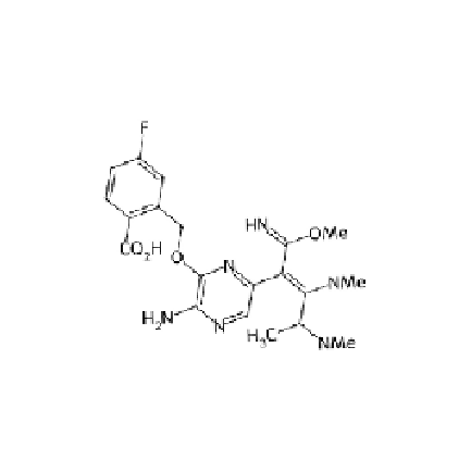 CN/C(=C(\C(=N)OC)c1cnc(N)c(OCc2cc(F)ccc2C(=O)O)n1)C(C)NC